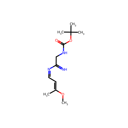 CO/C(C)=C/C=N\C(=N)CNC(=O)OC(C)(C)C